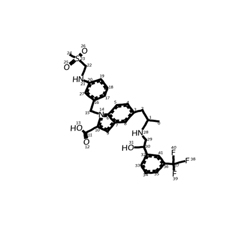 CC(Cc1ccc2c(c1)cc(C(=O)O)n2Cc1cccc(NCS(C)(=O)=O)c1)NCC(O)c1cccc(C(F)(F)F)c1